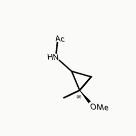 CO[C@]1(C)CC1NC(C)=O